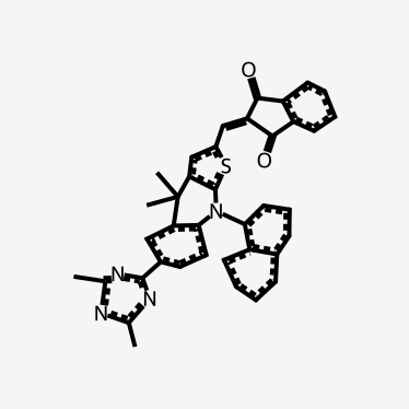 Cc1nc(C)nc(-c2ccc3c(c2)C(C)(C)c2cc(C=C4C(=O)c5ccccc5C4=O)sc2N3c2cccc3ccccc23)n1